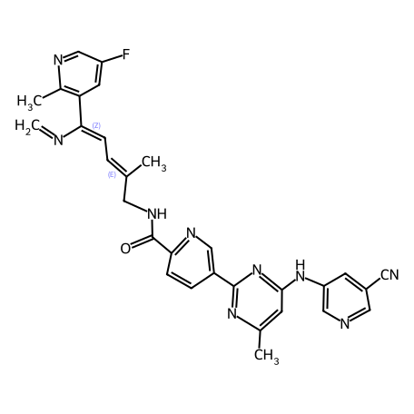 C=N/C(=C\C=C(/C)CNC(=O)c1ccc(-c2nc(C)cc(Nc3cncc(C#N)c3)n2)cn1)c1cc(F)cnc1C